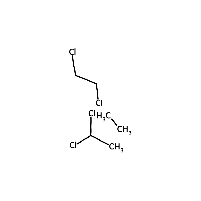 CC.CC(Cl)Cl.ClCCCl